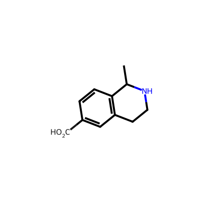 CC1NCCc2cc(C(=O)O)ccc21